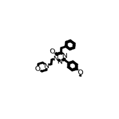 COc1ccc(-c2nc(Cc3ccccc3)c(=O)n(CCN3CCOCC3)n2)cc1